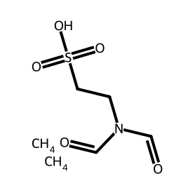 C.C.O=CN(C=O)CCS(=O)(=O)O